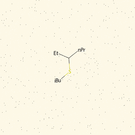 CCCC(CC)SC(C)CC